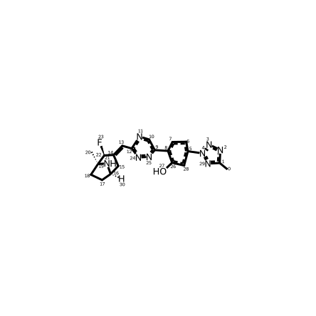 Cc1nnn(-c2ccc(-c3cnc(/C=C4\C[C@H]5CC[C@](C)(N5)[C@H]4F)nn3)c(O)c2)n1